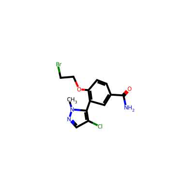 Cn1ncc(Cl)c1-c1cc(C(N)=O)ccc1OCCBr